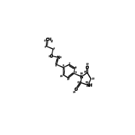 C=CCON=Cc1ccc(N2C(=O)CNC2=O)cc1